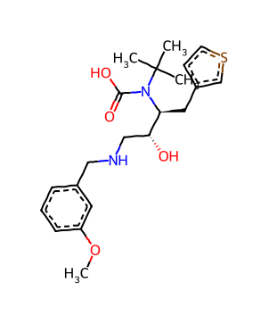 COc1cccc(CNC[C@@H](O)[C@H](Cc2ccsc2)N(C(=O)O)C(C)(C)C)c1